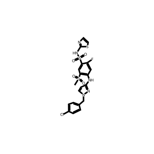 CS(=O)(=O)c1cc(S(=O)(=O)Nc2nccs2)c(F)cc1Nc1ccn(Cc2ccc(Cl)cc2)n1